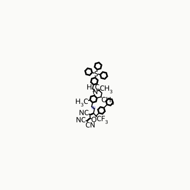 Cc1cc2c(cc1/C=C/C1=C(C#N)C(=C(C#N)C#N)OC1(c1ccc(-c3ccccc3)cc1)C(F)(F)F)C(C)CC(C)(C)N2Cc1ccc(S(c2ccccc2)(c2ccccc2)c2ccccc2)cc1